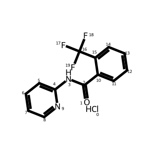 Cl.O=C(Nc1ccccn1)c1ccccc1C(F)(F)F